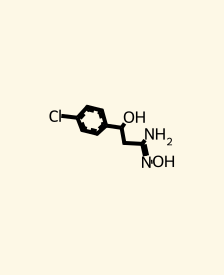 N/C(CC(O)c1ccc(Cl)cc1)=N\O